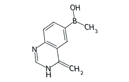 C=C1NC=Nc2ccc(B(C)O)cc21